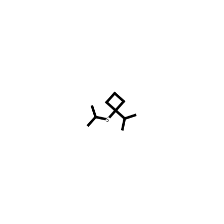 CC(C)SC1(C(C)C)CCC1